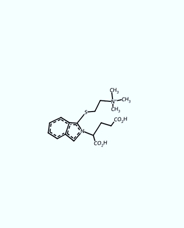 C[N+](C)(C)CCSc1c2ccccc2cn1C(CCC(=O)O)C(=O)O